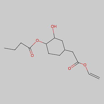 C=COC(=O)CC1CCC(OC(=O)CCC)C(O)C1